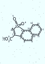 CCOC(=O)C1=NS(=O)(=O)c2c1ccc1ccccc21